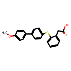 COc1ccc(-c2ccc(Sc3ccccc3CC(=O)O)cc2)cc1